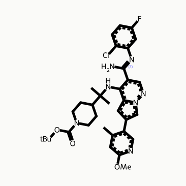 COc1cc(C)c(-c2cc3c(NC(C)(C)C4CCN(C(=O)OC(C)(C)C)CC4)c(/C(N)=N/c4cc(F)ccc4Cl)cnn3c2)cn1